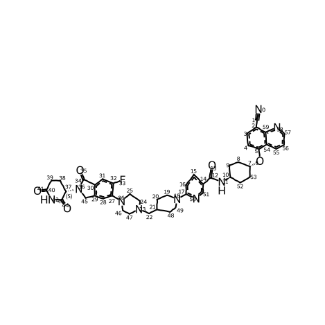 N#Cc1ccc(O[C@H]2CC[C@H](NC(=O)c3ccc(N4CCC(CN5CCN(c6cc7c(cc6F)C(=O)N([C@H]6CCC(=O)NC6=O)C7)CC5)CC4)nc3)CC2)c2cccnc12